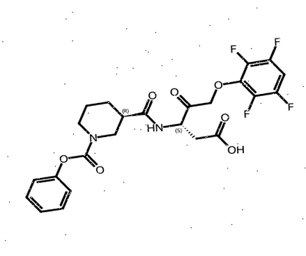 O=C(O)C[C@H](NC(=O)[C@@H]1CCCN(C(=O)Oc2ccccc2)C1)C(=O)COc1c(F)c(F)cc(F)c1F